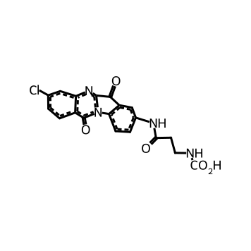 O=C(O)NCCC(=O)Nc1ccc2c(c1)C(=O)c1nc3cc(Cl)ccc3c(=O)n1-2